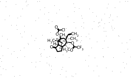 C=C[C@]1(C)C[C@@H](OC(=O)Cl)[C@]2(C)C(C)CC[C@]3(CCC(=O)[C@H]32)[C@@H](C)[C@@H]1OC(=O)C(F)(F)F